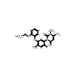 Cn1c(C(F)(F)F)cc(=O)n(-c2cc(Oc3ccccc3OCC(=O)O)c(Cl)cc2F)c1=O